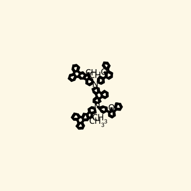 CC1(C)c2cc(N(c3ccc(-c4cccc5c4oc4ccccc45)cc3)c3ccc4c5ccc(N(c6ccc(-c7cccc8c7oc7ccccc78)cc6)c6ccc7c(c6)C(C)(C)c6cc8c9ccccc9c9ccccc9c8cc6-7)cc5c5ccccc5c4c3)ccc2-c2cc3c4ccccc4c4ccccc4c3cc21